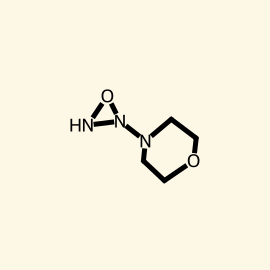 C1CN(n2[nH]o2)CCO1